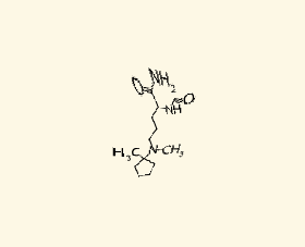 CN(CCCC(NC=O)C(N)=O)C1(C)CCCC1